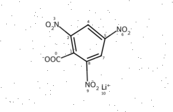 O=C([O-])c1c([N+](=O)[O-])cc([N+](=O)[O-])cc1[N+](=O)[O-].[Li+]